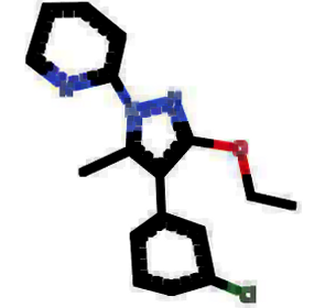 CCOc1nn(-c2ccccn2)c(C)c1-c1cccc(Cl)c1